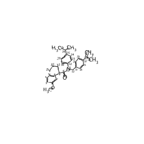 COc1ccc2c(c1)C(C(=O)N(Cc1ccc(N(C)C)cc1)c1ccc(C(C)C)cc1)CCC2